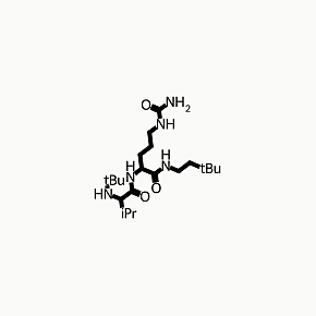 CC(C)C(NC(C)(C)C)C(=O)NC(CCCNC(N)=O)C(=O)NCCC(C)(C)C